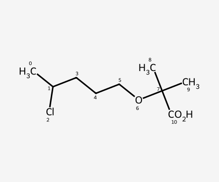 CC(Cl)CCCOC(C)(C)C(=O)O